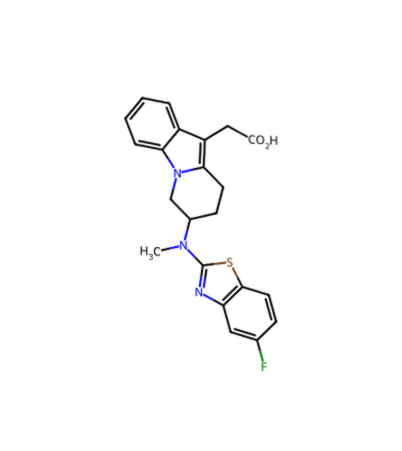 CN(c1nc2cc(F)ccc2s1)C1CCc2c(CC(=O)O)c3ccccc3n2C1